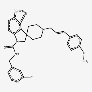 COc1ccc(C=CCN2CCC3(CC2)CN(C(=O)NCc2ccnc(Cl)c2)c2ccc4scnc4c23)cc1